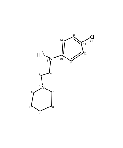 NN(CCN1CCCCC1)c1ccc(Cl)cc1